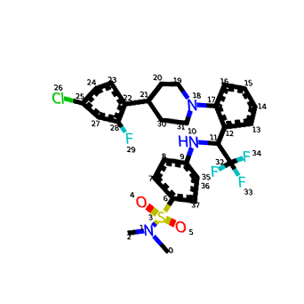 CN(C)S(=O)(=O)c1ccc(NC(c2ccccc2N2CCC(c3ccc(Cl)cc3F)CC2)C(F)(F)F)cc1